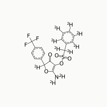 [2H]c1c([2H])c([2H])c(C([2H])([2H])S(=O)(=O)OC2=C(N([2H])[2H])OC([2H])(c3ccc(C(F)(F)F)cc3)C2=O)c([2H])c1[2H]